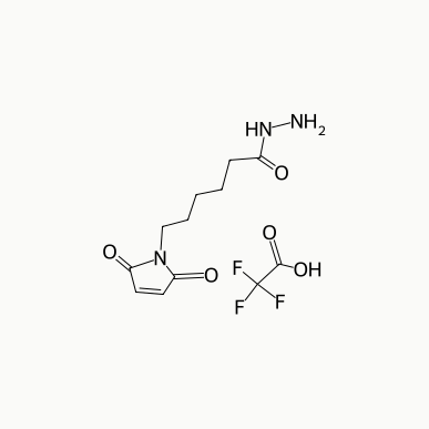 NNC(=O)CCCCCN1C(=O)C=CC1=O.O=C(O)C(F)(F)F